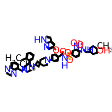 CC(C)c1ccccc1C1CN(Cc2cccc3nccnc23)CCN1C1CC2(CCN(c3ccc(C(=O)NS(=O)(=O)c4ccc(NCC5CCC(C)(O)CC5)c([N+](=O)[O-])c4)c(Oc4cnc5[nH]ccc5c4)c3)CC2)C1